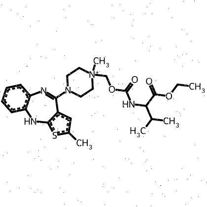 CCOC(=O)C(NC(=O)OC[N+]1(C)CCN(C2=Nc3ccccc3Nc3sc(C)cc32)CC1)C(C)C